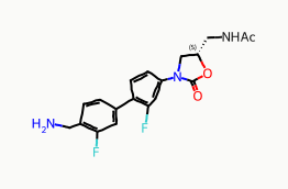 CC(=O)NC[C@H]1CN(c2ccc(-c3ccc(CN)c(F)c3)c(F)c2)C(=O)O1